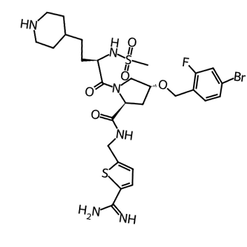 CS(=O)(=O)N[C@H](CCC1CCNCC1)C(=O)N1C[C@H](OCc2ccc(Br)cc2F)C[C@H]1C(=O)NCc1ccc(C(=N)N)s1